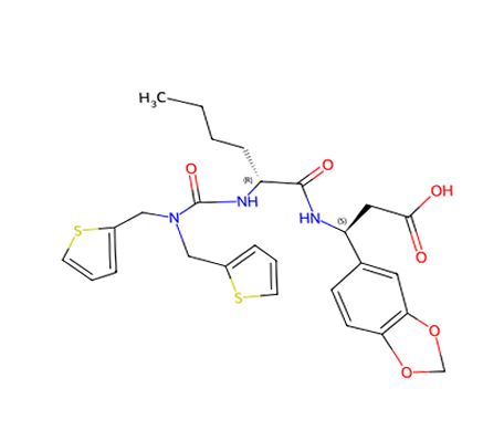 CCCC[C@@H](NC(=O)N(Cc1cccs1)Cc1cccs1)C(=O)N[C@@H](CC(=O)O)c1ccc2c(c1)OCO2